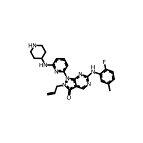 C=CCn1c(=O)c2cnc(Nc3cc(C)ccc3F)nc2n1-c1cccc(NC2CCNCC2)n1